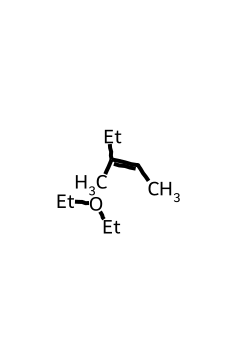 CC=C(C)CC.CCOCC